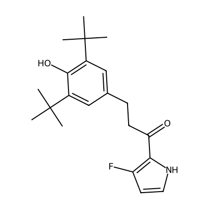 CC(C)(C)c1cc(CCC(=O)c2[nH]ccc2F)cc(C(C)(C)C)c1O